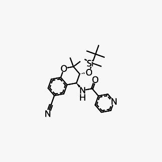 CC1(C)Oc2ccc(C#N)cc2[C@H](NC(=O)c2cccnc2)[C@H]1O[Si](C)(C)C(C)(C)C